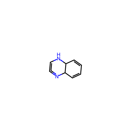 C1=CNC2C=CC=CC2N=1